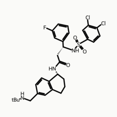 CC(C)(C)NCc1ccc2c(c1)CCC[C@H]2NC(=O)C[C@@H](NS(=O)(=O)c1ccc(Cl)c(Cl)c1)c1cccc(F)c1